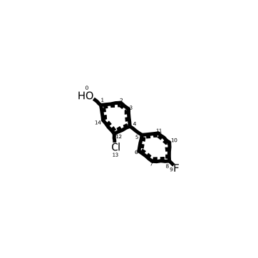 Oc1ccc(-c2ccc(F)cc2)c(Cl)c1